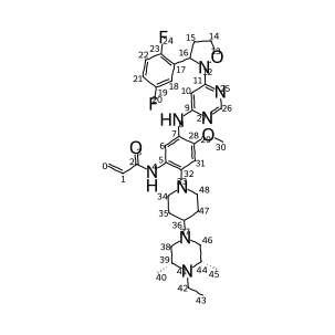 C=CC(=O)Nc1cc(Nc2cc(N3OCCC3c3cc(F)ccc3F)ncn2)c(OC)cc1N1CCC(N2C[C@@H](C)N(CC)[C@@H](C)C2)CC1